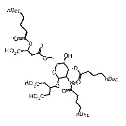 CCCCCCCCCCCCCC(=O)N[C@H]1[C@@H](OC(CC(=O)O)CC(=O)O)O[C@H](COC(=O)C[C@H](OC(=O)CCCCCCCCCCCCC)C(=O)O)[C@@H](O)[C@@H]1OC(=O)CCCCCCCCCCCCC